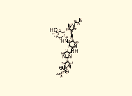 C[C@]1(O)CC[C@H](CNc2cc(Nc3ccnc(-c4cnn(S(=O)(=O)C5CC5)c4)n3)ncc2C#Cc2cnn(CCF)c2)CC1